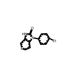 CCc1ccc(-n2c(=O)[nH]c3cnccc32)cc1